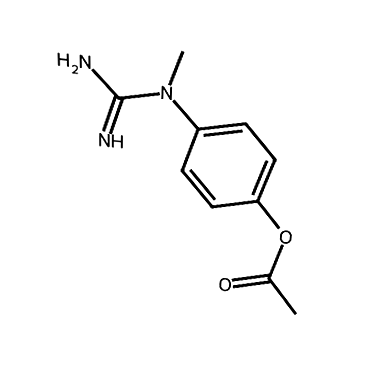 CC(=O)Oc1ccc(N(C)C(=N)N)cc1